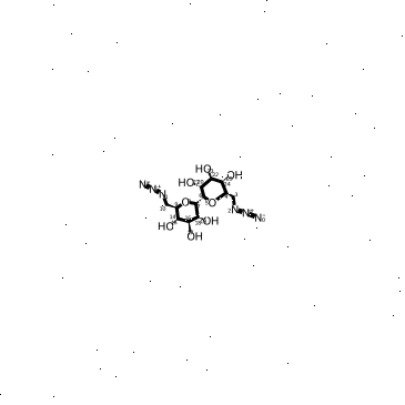 [N-]=[N+]=NC[C@H]1O[C@H](C2O[C@H](CN=[N+]=[N-])[C@@H](O)[C@H](O)[C@H]2O)[C@H](O)[C@@H](O)[C@@H]1O